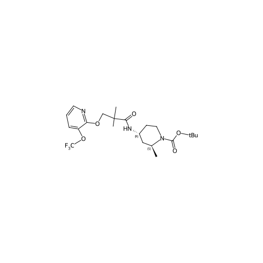 C[C@H]1C[C@H](NC(=O)C(C)(C)COc2ncccc2OC(F)(F)F)CCN1C(=O)OC(C)(C)C